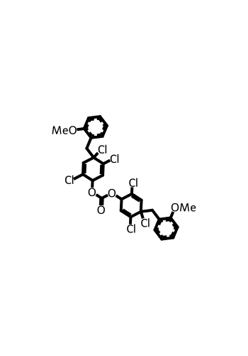 COc1ccccc1CC1(Cl)C=C(Cl)C(OC(=O)OC2C=C(Cl)C(Cl)(Cc3ccccc3OC)C=C2Cl)C=C1Cl